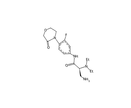 CCN(CC)[C@@H](CN)C(=O)Nc1ccc(N2CCOCC2=O)c(F)c1